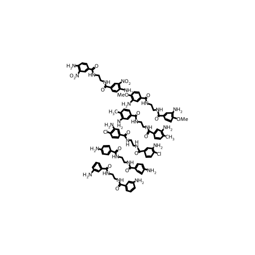 COc1ccc(C(=O)NCCNC(=O)c2ccc(OC)c(N)c2)cc1N.Cc1ccc(C(=O)NCCNC(=O)c2ccc(C)c(N)c2)cc1N.Nc1cc(C(=O)NCCNC(=O)c2ccc(Cl)c(N)c2)ccc1Cl.Nc1ccc(C(=O)NCCNC(=O)c2ccc(N)c([N+](=O)[O-])c2)cc1[N+](=O)[O-].Nc1ccc(C(=O)NCCNC(=O)c2ccc(N)cc2)cc1.Nc1cccc(C(=O)NCCNC(=O)c2cccc(N)c2)c1